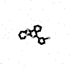 Brc1cccc(-c2nc3c(nc4ccccn43)c3ccccc23)c1